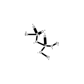 CCOP(=O)(OCC)OS(=O)(=O)CC